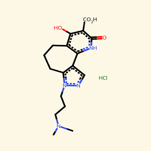 CN(C)CCCn1ncc2c1CCCc1c-2[nH]c(=O)c(C(=O)O)c1O.Cl